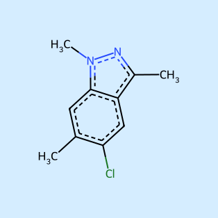 Cc1cc2c(cc1Cl)c(C)nn2C